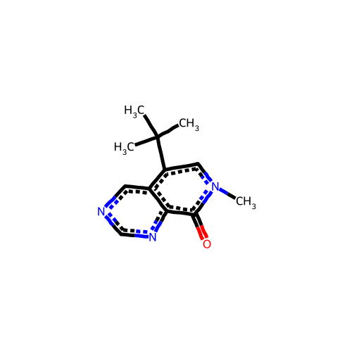 Cn1cc(C(C)(C)C)c2cncnc2c1=O